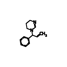 C=CC(c1ccccc1)N1C=NCCC1